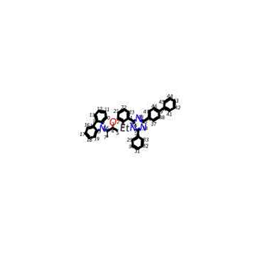 CCc1c(OC(C)[C@@H](C)n2c3ccccc3c3ccccc32)cccc1-c1nc(-c2ccccc2)nc(-c2ccc(-c3ccccc3)cc2)n1